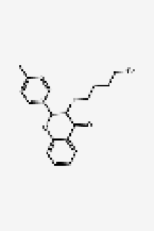 Cc1ccc(C2Oc3ccccc3C(=O)C2OCCCCBr)cc1